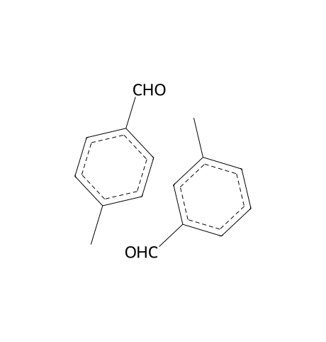 Cc1ccc(C=O)cc1.Cc1cccc(C=O)c1